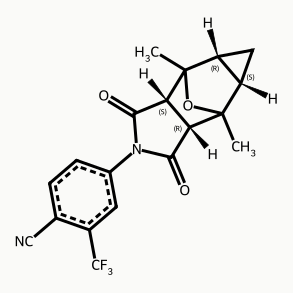 CC12OC(C)([C@@H]3C[C@@H]31)[C@H]1C(=O)N(c3ccc(C#N)c(C(F)(F)F)c3)C(=O)[C@H]12